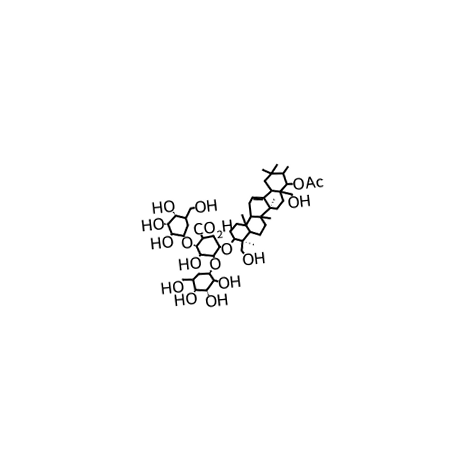 CC(=O)OC1C(C)C(C)(C)CC2C3=CCC4C5(C)CCC(O[C@@H]6CC(C(=O)O)[C@@H](O[C@@H]7CC(CO)[C@@H](O)[C@@H](O)C7O)[C@@H](O)C6O[C@@H]6CC(CO)[C@@H](O)[C@@H](O)C6O)[C@](C)(CO)C5CCC4(C)[C@]3(C)CCC21CO